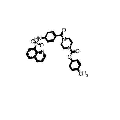 CC1=CCC(OC(=O)N2CCN(C(=O)C3=CCC(NS(=O)(=O)c4cccc5cccnc45)C=C3)CC2)C=C1